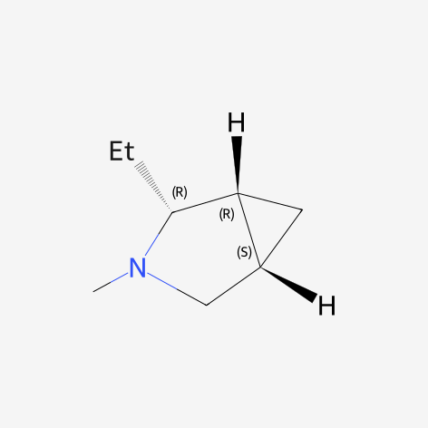 CC[C@@H]1[C@@H]2C[C@@H]2CN1C